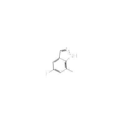 Cc1cc(F)cc2cn[nH]c12